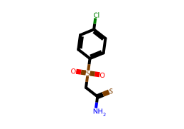 NC(=S)CS(=O)(=O)c1ccc(Cl)cc1